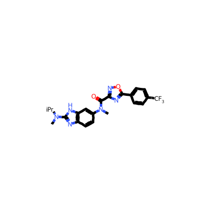 CC(C)N(C)c1nc2ccc(N(C)C(=O)c3noc(-c4ccc(C(F)(F)F)cc4)n3)cc2[nH]1